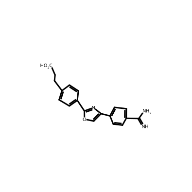 N=C(N)c1ccc(-c2coc(-c3ccc(CCC(=O)O)cc3)n2)cc1